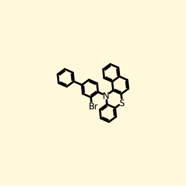 Brc1cc(-c2ccccc2)ccc1N1c2ccccc2Sc2ccc3ccccc3c21